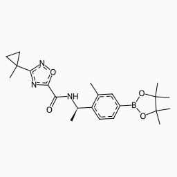 Cc1cc(B2OC(C)(C)C(C)(C)O2)ccc1[C@@H](C)NC(=O)c1nc(C2(C)CC2)no1